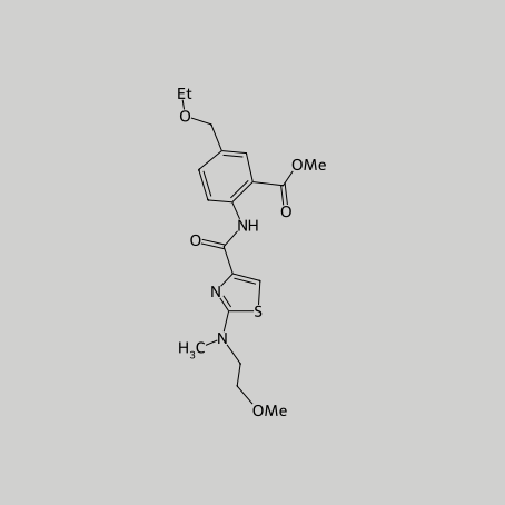 CCOCc1ccc(NC(=O)c2csc(N(C)CCOC)n2)c(C(=O)OC)c1